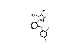 CN1C(c2ccncc2Nc2ccc(I)cc2F)=NNC1C=S